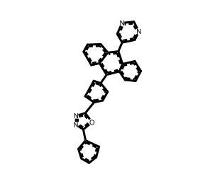 c1ccc(-c2nnc(-c3ccc(-c4c5ccccc5c(-c5cncnc5)c5ccccc45)cc3)o2)cc1